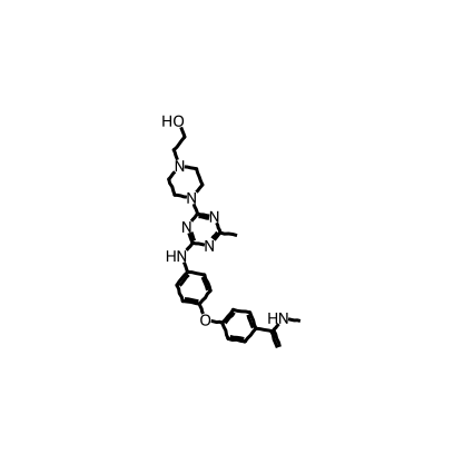 C=C(NC)c1ccc(Oc2ccc(Nc3nc(C)nc(N4CCN(CCO)CC4)n3)cc2)cc1